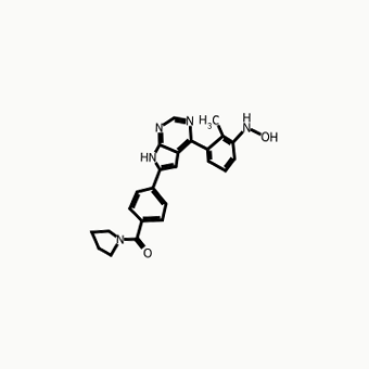 Cc1c(NO)cccc1-c1ncnc2[nH]c(-c3ccc(C(=O)N4CCCC4)cc3)cc12